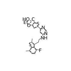 CCOc1cc(-c2cc(NCCc3c(C)sc4c(C)ccc(F)c34)ncn2)sc1C(=O)O